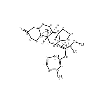 CCOC(CC)(C(=O)OC1=CC(C)=CC=CN1)[C@H]1CC[C@H]2[C@@H]3CCC4CC(=O)CC[C@]4(C)[C@H]3CC[C@]12C